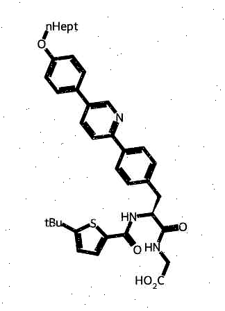 CCCCCCCOc1ccc(-c2ccc(-c3ccc(C[C@H](NC(=O)c4ccc(C(C)(C)C)s4)C(=O)NCC(=O)O)cc3)nc2)cc1